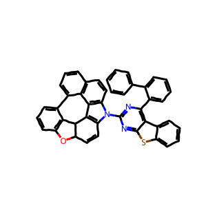 C1=CC2Oc3cccc4c3C2c2c1n(-c1nc(-c3ccccc3-c3ccccc3)c3c(n1)sc1ccccc13)c1ccc3cccc-4c3c21